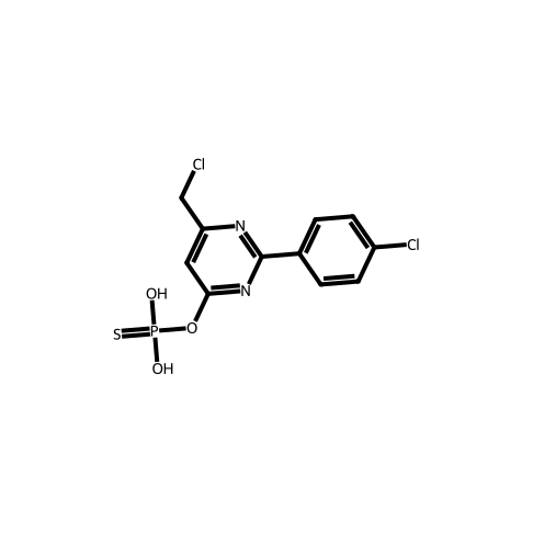 OP(O)(=S)Oc1cc(CCl)nc(-c2ccc(Cl)cc2)n1